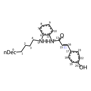 CCCCCCCCCCCCCCNc1ccccc1NC(=O)/C=C/c1ccc(O)cc1